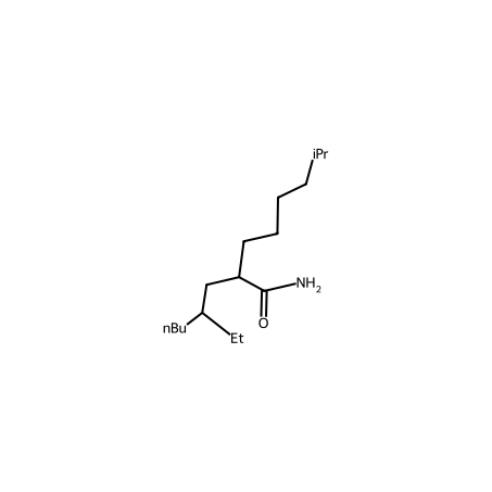 CCCCC(CC)CC(CCCCC(C)C)C(N)=O